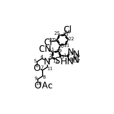 [C-]#[N+]c1c(N2CCOC(CCOC(C)=O)C2)sc(-c2nnn[nH]2)c1-c1ccc(Cl)cc1Cl